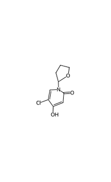 O=c1cc(O)c(Cl)cn1C1CCCO1